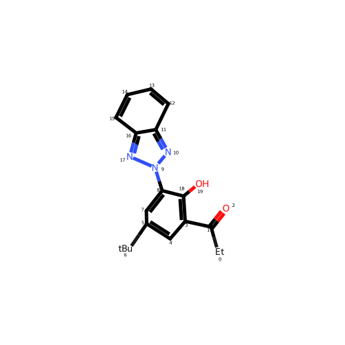 CCC(=O)c1cc(C(C)(C)C)cc(-n2nc3ccccc3n2)c1O